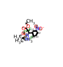 CCOC(=O)C(F)(F)C(N[S+]([O-])C(C)(C)C)c1cc([N+](=O)[O-])ccc1F